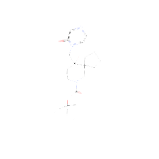 CC(C)(C)OC(=O)N1CCC(O)(Cn2ccncc2=O)C2(CCCC2)C1